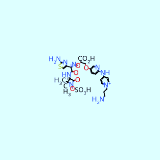 CC1(C)[C@H](NC(=O)/C(=N\OC(COc2ccc(Nc3cc[n+](CCCN)cc3)nc2)C(=O)O)c2csc(N)n2)C(=O)N1OS(=O)(=O)O